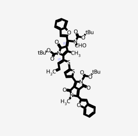 C=C/C=C(\Sc1ccc(C2=C3C(=O)N(C)C(c4cc5ccccc5o4)=C3C(=O)N2C(=O)OC(C)(C)C)s1)C1=C(C)/C(=C(/c2cc3ccccc3o2)N(C=O)C(=O)OC(C)(C)C)C(=O)N1C(=O)OC(C)(C)C